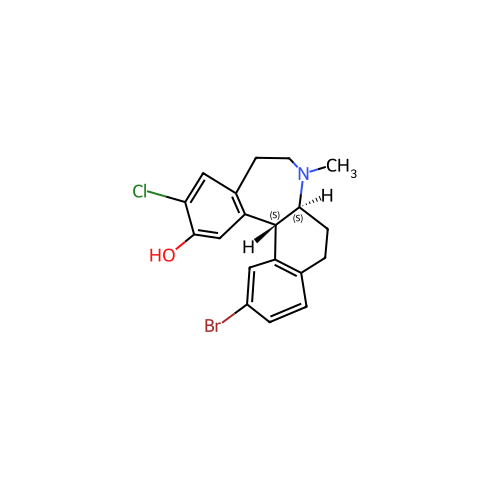 CN1CCc2cc(Cl)c(O)cc2[C@H]2c3cc(Br)ccc3CC[C@@H]21